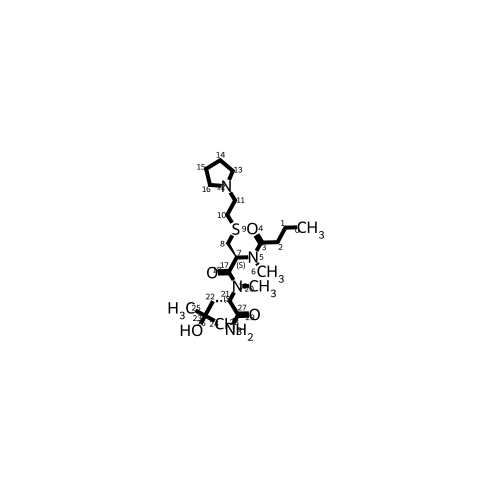 CCCC(=O)N(C)[C@H](CSCCN1CCCC1)C(=O)N(C)[C@@H](CC(C)(C)O)C(N)=O